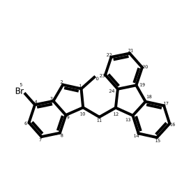 CC1=Cc2c(Br)cccc2C1CC1c2ccccc2-c2ccccc21